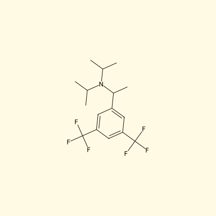 CC(C)N(C(C)C)C(C)c1cc(C(F)(F)F)cc(C(F)(F)F)c1